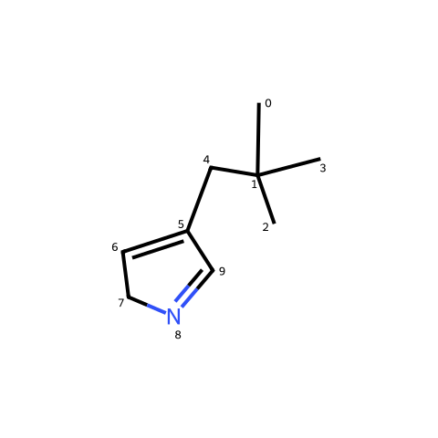 CC(C)(C)CC1=CCN=C1